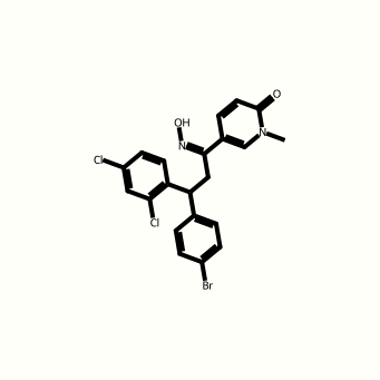 Cn1cc(/C(CC(c2ccc(Br)cc2)c2ccc(Cl)cc2Cl)=N\O)ccc1=O